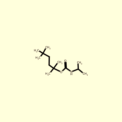 CC(C)NC(=O)OC(C)(C)CCC(C)(C)C